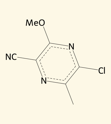 COc1nc(Cl)c(C)nc1C#N